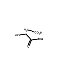 CC(C)(C)C(=O)CO.NC(=O)O